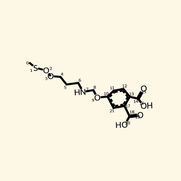 CSOOCCCNCOc1ccc(C(=O)O)c(C(=O)O)c1